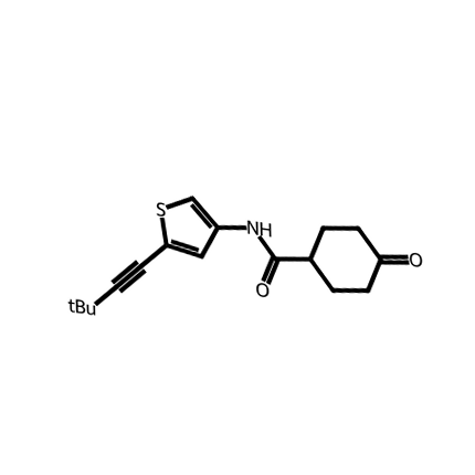 CC(C)(C)C#Cc1cc(NC(=O)C2CCC(=O)CC2)cs1